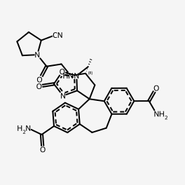 C[C@H](CC1(c2nc(=O)on2C)c2ccc(C(N)=O)cc2CCc2cc(C(N)=O)ccc21)NCC(=O)N1CCCC1C#N